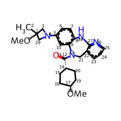 COC1(C)CN(c2ccc3c(c2)N(C(=O)[C@H]2CC[C@H](OC)CC2)Cc2cccnc2N3)C1